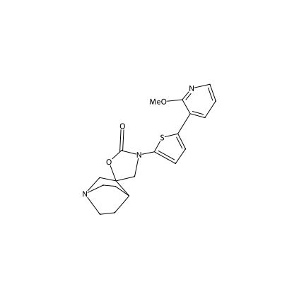 COc1ncccc1-c1ccc(N2CC3(CN4CCC3CC4)OC2=O)s1